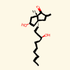 C=C1C[C@@]2(C=C[C@@H](O)CCCCCC)C[C@H](O)C[C@@H]2C1=O